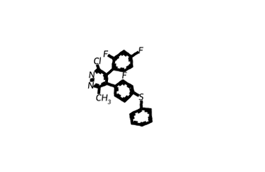 Cc1nnc(Cl)c(-c2c(F)cc(F)cc2F)c1-c1ccc(Sc2ccccc2)cc1